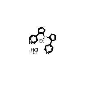 C[CH2][Zr]([C]1=C(c2ccncc2)C=CC1)[C]1=C(c2ccncc2)C=CC1.Cl.Cl